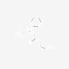 CC/C=C\CC(=O)CC1(c2ccccc2)CCNCC1